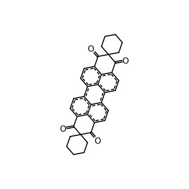 O=C1c2ccc3c4ccc5c6c(ccc(c7ccc(c2c37)C(=O)C12CCCCC2)c64)C(=O)C1(CCCCC1)C5=O